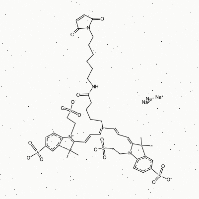 CC1(C)C(=CC=CC(=CC=CC2=[N+](CCS(=O)(=O)[O-])c3ccc(S(=O)(=O)[O-])cc3C2(C)C)CCCCC(=O)NCCCCCCN2C(=O)C=CC2=O)N(CCS(=O)(=O)[O-])c2ccc(S(=O)(=O)[O-])cc21.[Na+].[Na+].[Na+]